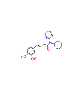 O=C(C/C=C/c1ccc(O)c(O)c1)N(c1ccccn1)C1CCCCC1